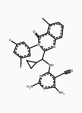 Cc1cccc2nc(C(Nc3nc(N)nc(N)c3C#N)C3CC3)n(-c3cc(F)cc(F)c3)c(=O)c12